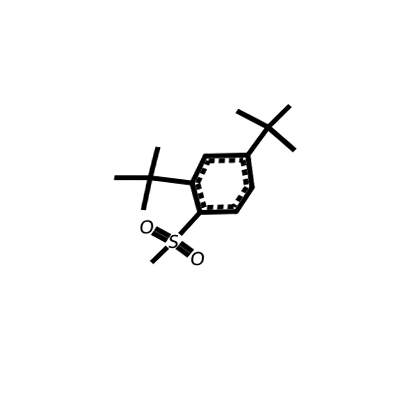 CC(C)(C)c1ccc(S(C)(=O)=O)c(C(C)(C)C)c1